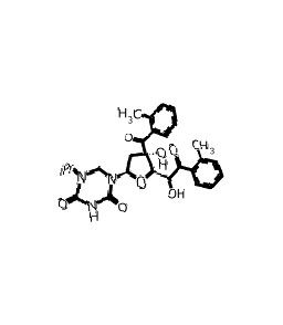 Cc1ccccc1C(=O)C(O)[C@H]1O[C@@H](N2CN(C(C)C)C(=O)NC2=O)C[C@@]1(O)C(=O)c1ccccc1C